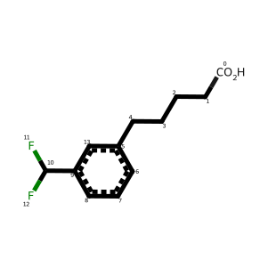 O=C(O)CCCCc1cccc(C(F)F)c1